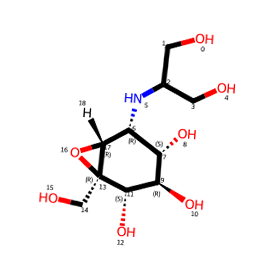 OCC(CO)N[C@@H]1[C@H](O)[C@@H](O)[C@H](O)[C@@]2(CO)O[C@H]12